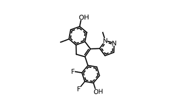 Cc1cc(O)cc2c1CC(c1ccc(O)c(F)c1F)=C2c1ccnn1C